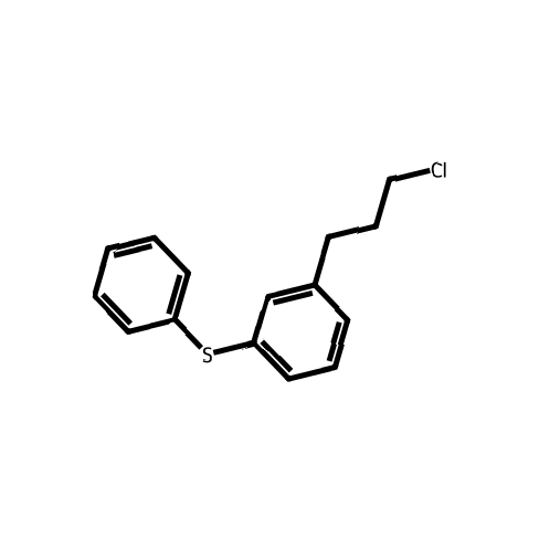 ClCCCc1cccc(Sc2ccccc2)c1